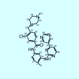 Cc1ccc(NC(=O)c2ccc(CN3CCN(C)CC3)c(Cl)c2)cc1Nc1nccc(-c2cncnc2)n1